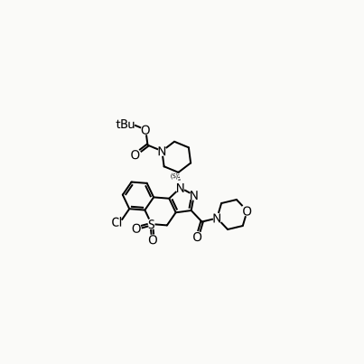 CC(C)(C)OC(=O)N1CCC[C@H](n2nc(C(=O)N3CCOCC3)c3c2-c2cccc(Cl)c2S(=O)(=O)C3)C1